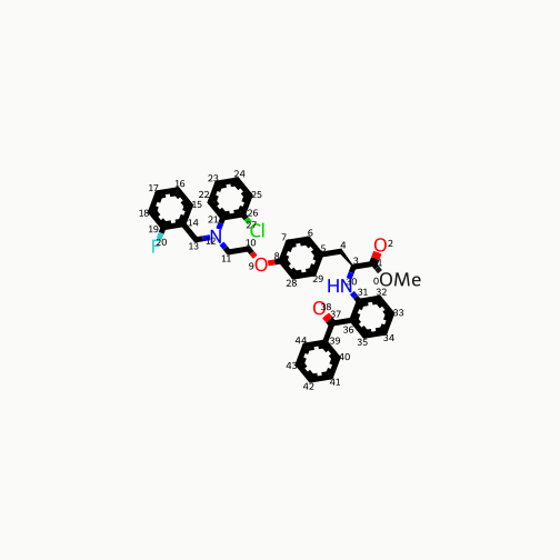 COC(=O)[C@H](Cc1ccc(OCCN(Cc2ccccc2F)c2ccccc2Cl)cc1)Nc1ccccc1C(=O)c1ccccc1